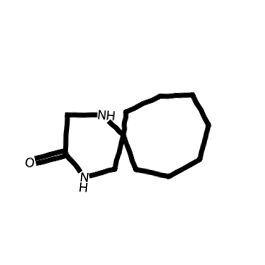 O=C1CNC2(CCCCCCC2)CN1